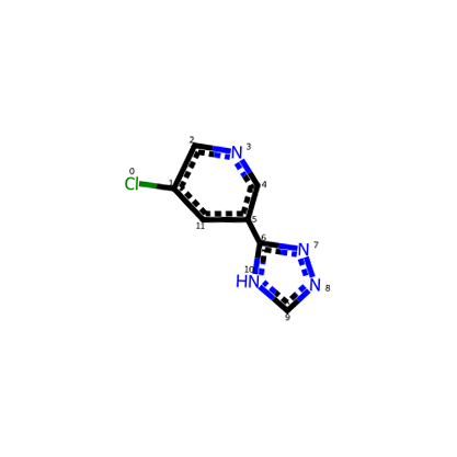 Clc1cncc(-c2nnc[nH]2)c1